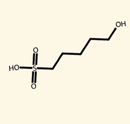 O=S(=O)(O)CCCCCO